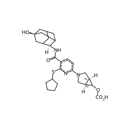 O=C(O)OC1[C@H]2CN(c3ccc(C(=O)N[C@H]4C5CC6CC4C[C@@](O)(C6)C5)c(SC4CCCC4)n3)C[C@@H]12